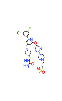 CNC(=O)NCC1CCN(Cc2cc(Oc3cnc(N4CCN(CCCS(C)(=O)=O)CC4)nc3)nc(-c3cc(F)cc(Cl)c3)c2)CC1